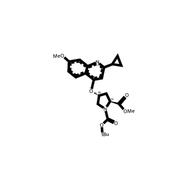 COC(=O)[C@@H]1C[C@@H](Oc2cc(C3CC3)nc3cc(OC)ccc23)CN1C(=O)OC(C)(C)C